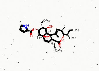 COC[C@@H]1[C@@H](O)[C@@H]2[C@H]3C=C[C@@H]4[C@@H](COC)C(=O)O[C@H]([C@@H](COC)OC)[C@H](C)/C=C(\C)[C@@]24O[C@H]3[C@@H]1OC(=O)c1ccc[nH]1